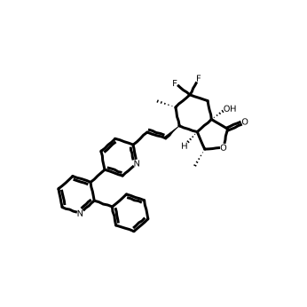 C[C@H]1OC(=O)[C@]2(O)CC(F)(F)[C@@H](C)[C@H](C=Cc3ccc(-c4cccnc4-c4ccccc4)cn3)[C@H]12